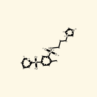 Cc1ccc(S(=O)(=O)c2ccccc2)cc1S(=O)(=O)NCCCn1ccnc1